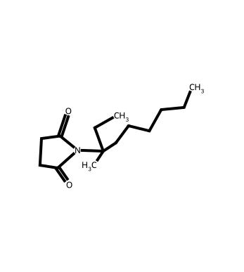 CCCCCCC(C)(CC)N1C(=O)CCC1=O